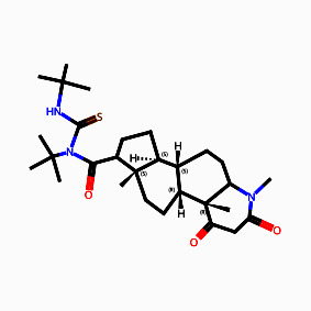 CN1C(=O)CC(=O)[C@@]2(C)C1CC[C@@H]1[C@H]2CC[C@]2(C)C(C(=O)N(C(=S)NC(C)(C)C)C(C)(C)C)CC[C@@H]12